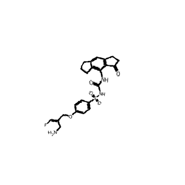 NC/C(=C\F)COc1ccc(S(=O)(=O)NC(=O)Nc2c3c(cc4c2C(=O)CC4)CCC3)cc1